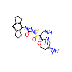 CN[C@H]1CCO/C(=C(C=N)\[SH](=O)=N\C(=O)Nc2c3c(cc4c2CCC4)CCC3)NC1